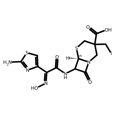 Nc1nc(C(=NO)C(=O)NC2C(=O)N3CC(CI)(C(=O)O)CS[C@H]23)cs1